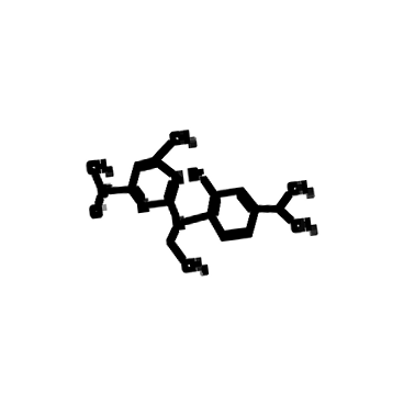 CCN(c1nc(C)cc([S+](C)[O-])n1)c1ccc(C(C)C)cc1Br